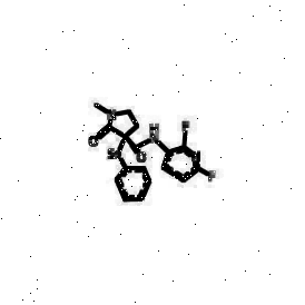 CN1CCC([Se]c2ccccc2)(C(=O)Nc2ccc(F)nc2F)C1=O